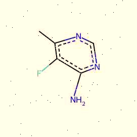 Cc1ncnc(N)c1F